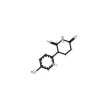 Cc1ccc(C2CCC(=O)NC2=O)nc1